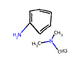 CN(C)C=O.Nc1ccccc1